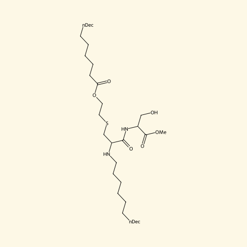 CCCCCCCCCCCCCCCCNC(CSCCOC(=O)CCCCCCCCCCCCCCC)C(=O)NC(CO)C(=O)OC